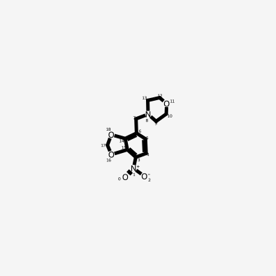 O=[N+]([O-])c1ccc(CN2CCOCC2)c2c1OCO2